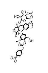 COc1cc([C@@H]2c3cc4c(cc3[C@@H](OC3OC5COC(C)OC5C(O)C3O)[C@H]3COC(=O)[C@H]23)OCO4)cc(CO)c1OC(=O)Cc1ccc([N+](=O)[O-])cc1